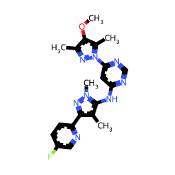 COc1c(C)nn(-c2cc(Nc3c(C)c(-c4ccc(F)cn4)nn3C)ncn2)c1C